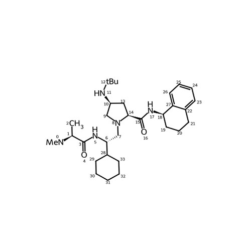 CN[C@@H](C)C(=O)N[C@H](CN1C[C@@H](NC(C)(C)C)C[C@H]1C(=O)N[C@@H]1CCCc2ccccc21)C1CCCCC1